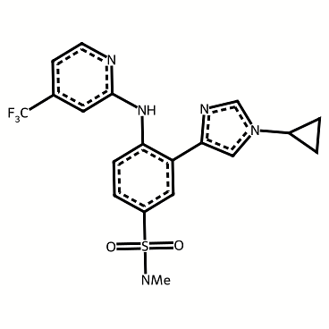 CNS(=O)(=O)c1ccc(Nc2cc(C(F)(F)F)ccn2)c(-c2cn(C3CC3)cn2)c1